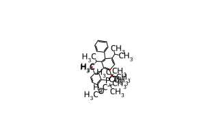 COc1ccc(C)c(-c2c(C(C)C)cc(C(C)C)c(-c3ccccc3)c2C(C)C)c1P(C(C)(C)C)C(C)(C)C